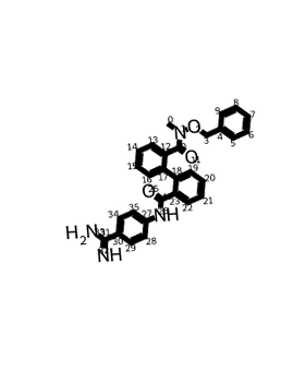 CN(OCc1ccccc1)C(=O)c1ccccc1-c1ccccc1C(=O)Nc1ccc(C(=N)N)cc1